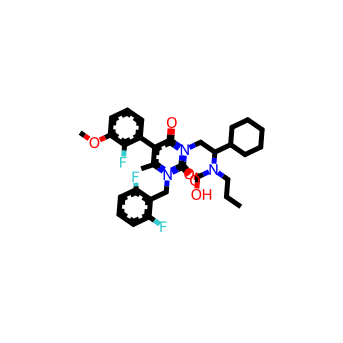 CCCN(C(=O)O)C(Cn1c(=O)c(-c2cccc(OC)c2F)c(C)n(Cc2c(F)cccc2F)c1=O)C1CCCCC1